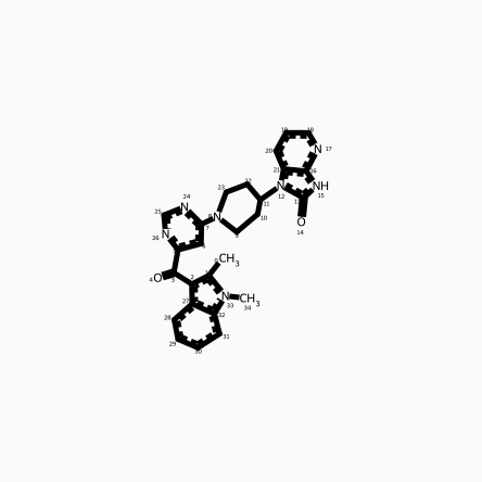 Cc1c(C(=O)c2cc(N3CCC(n4c(=O)[nH]c5ncccc54)CC3)ncn2)c2ccccc2n1C